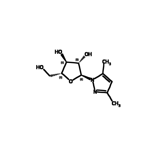 Cc1cc(C)n([C@H]2O[C@H](CO)[C@@H](O)[C@@H]2O)n1